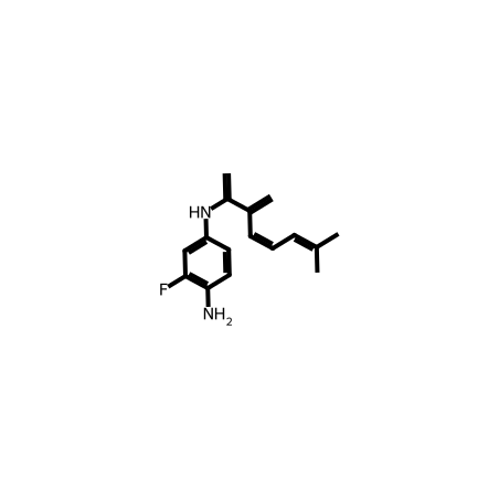 C=C(/C=C\C=C(C)C)C(=C)Nc1ccc(N)c(F)c1